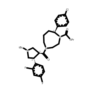 CCCC(=O)N1CCN(C(=O)[C@@H]2CN(C(C)(C)C)C[C@H]2c2ccc(F)cc2F)CCC[C@H]1c1ccc(Cl)cc1